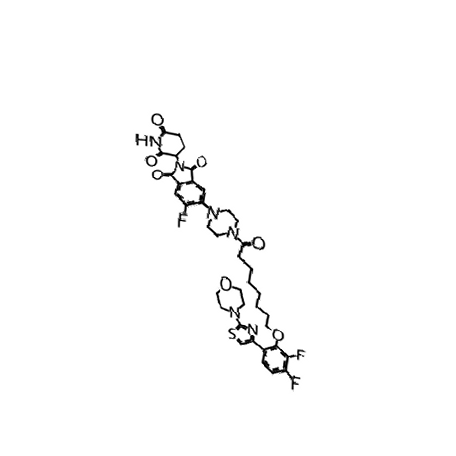 O=C1CCC(N2C(=O)c3cc(F)c(N4CCN(C(=O)CCCCCCCOc5c(-c6csc(N7CCOCC7)n6)ccc(F)c5F)CC4)cc3C2=O)C(=O)N1